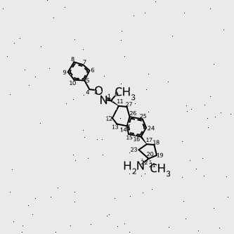 C/C(=N\OCc1ccccc1)[C@@H]1CCc2cc([C@H]3CC[C@@](C)(N)C3)ccc2C1